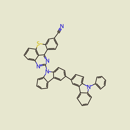 N#Cc1ccc2c(c1)Sc1cccc3nc(-n4c5ccccc5c5cc(-c6ccc7c(c6)c6ccccc6n7-c6ccccc6)ccc54)nc-2c13